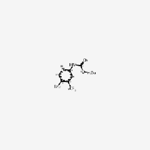 CC(C)(C)OC(=O)Nc1cc(C(F)(F)F)c(Br)cn1